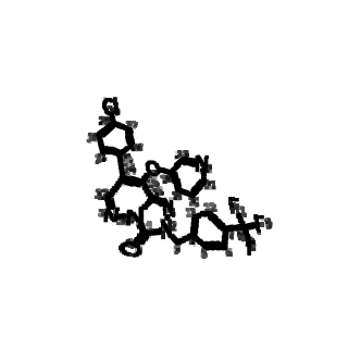 O=c1n(Cc2ccc(C(F)(F)F)cc2)nc2c(Oc3cccnc3)c(-c3ccc(Cl)cc3)cnn12